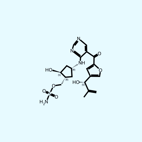 C=C(C)[C@H](O)c1coc(C(=O)c2cncnc2N[C@@H]2C[C@H](COS(N)(=O)=O)[C@@H](O)C2)c1